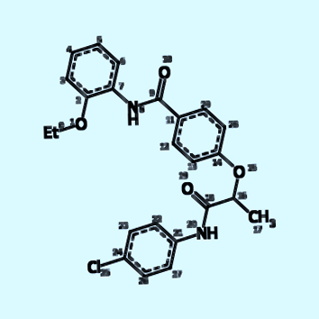 CCOc1ccccc1NC(=O)c1ccc(OC(C)C(=O)Nc2ccc(Cl)cc2)cc1